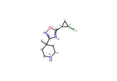 CC1(c2noc([C@H]3C[C@H]3F)n2)CCNCC1